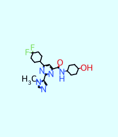 Cn1cncc1-c1nc(C(=O)NC2CCC(O)CC2)cc(C2CCC(F)(F)CC2)n1